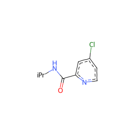 CC(C)NC(=O)c1cc(Cl)ccn1